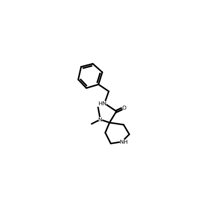 CN(C)C1(C(=O)NCc2ccccc2)CCNCC1